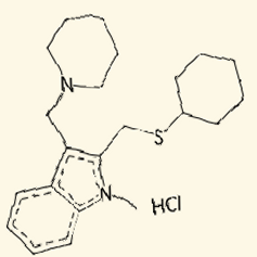 Cl.Cn1c(CSC2CCCCC2)c(CN2CCCCC2)c2ccccc21